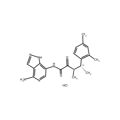 Cc1cc(C(F)(F)F)ccc1[C@H](C)N(C)C(=O)C(=O)Nc1cnc(N)c2cn[nH]c12.Cl